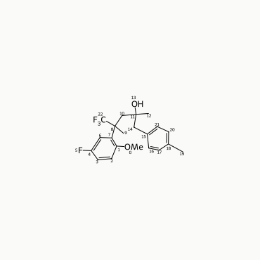 COc1ccc(F)cc1C(C)(CC(C)(O)Cc1ccc(C)cc1)C(F)(F)F